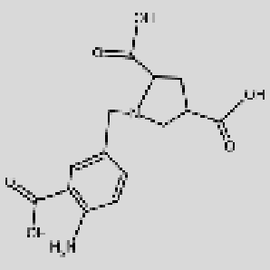 Nc1ccc(CN2CC(C(=O)O)CC2C(=O)O)cc1C(=O)O